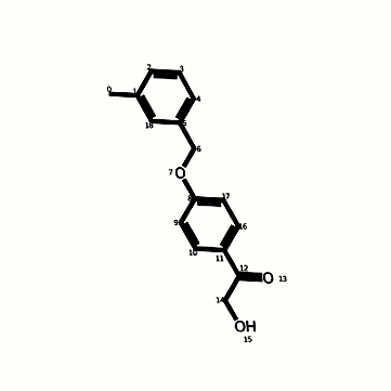 Cc1cccc(COc2ccc(C(=O)CO)cc2)c1